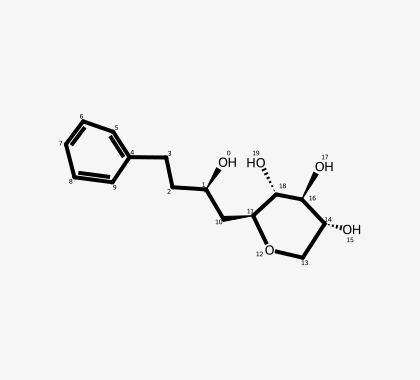 O[C@H](CCc1ccccc1)C[C@@H]1OC[C@@H](O)[C@H](O)[C@H]1O